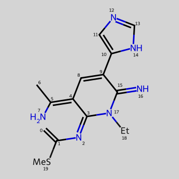 C=C(/N=C1\C(=C(\C)N)C=C(c2cnc[nH]2)C(=N)N1CC)SC